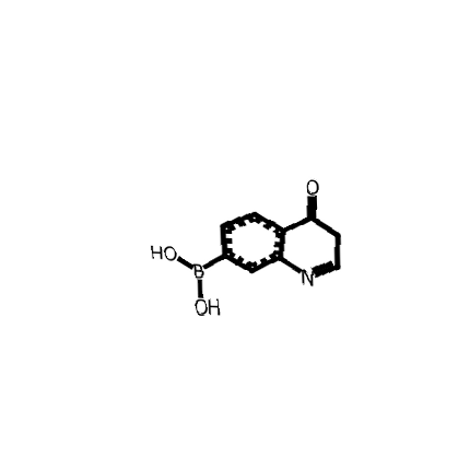 O=C1CC=Nc2cc(B(O)O)ccc21